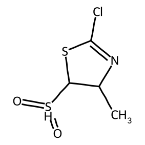 CC1N=C(Cl)SC1[SH](=O)=O